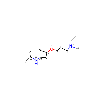 CCN(C)CCCO[C@H]1C[C@H](NC(C)C)C1